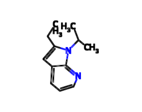 CCc1cc2cccnc2n1C(C)C